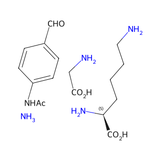 CC(=O)Nc1ccc(C=O)cc1.N.NCC(=O)O.NCCCC[C@H](N)C(=O)O